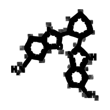 Nc1ccc2nc(-c3ccccc3-c3nc4ccc(N)cc4o3)[nH]c2c1